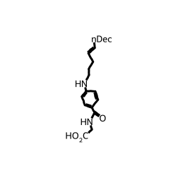 CCCCCCCCCC/C=C/CCCNc1ccc(C(=O)NCC(=O)O)cc1